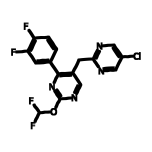 Fc1ccc(-c2nc(OC(F)F)ncc2Cc2ncc(Cl)cn2)cc1F